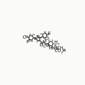 CC(C)(Nc1ccc(CCN2C(=O)COC2c2cn(-c3ccc(Cl)c(F)c3)nc2-c2ccc(F)cc2)cc1)C(=O)O